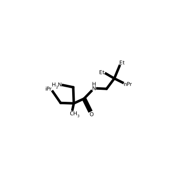 CCCC(CC)(CC)CNC(=O)C(C)(CN)CC(C)C